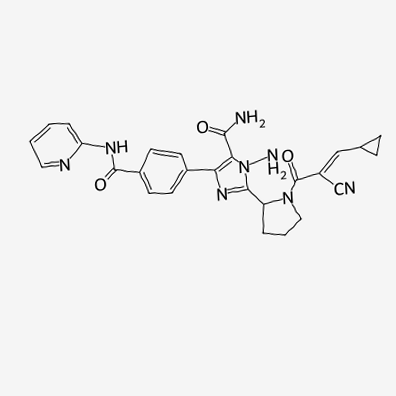 N#C/C(=C\C1CC1)C(=O)N1CCCC1c1nc(-c2ccc(C(=O)Nc3ccccn3)cc2)c(C(N)=O)n1N